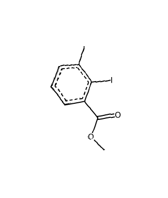 COC(=O)c1cccc(C)c1I